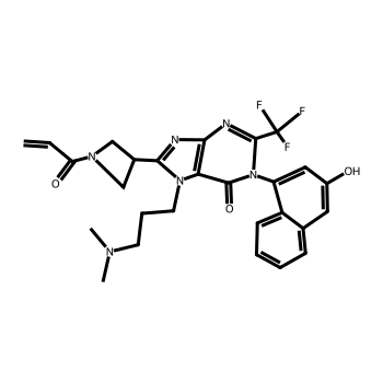 C=CC(=O)N1CC(c2nc3nc(C(F)(F)F)n(-c4cc(O)cc5ccccc45)c(=O)c3n2CCCN(C)C)C1